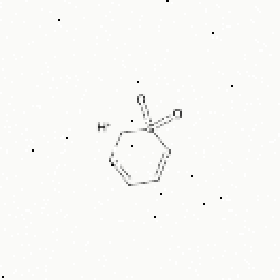 O=S1(=O)C=CC=CC1.[H+]